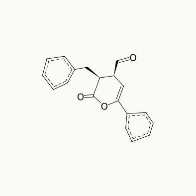 O=C[C@H]1C=C(c2ccccc2)OC(=O)[C@H]1Cc1ccccc1